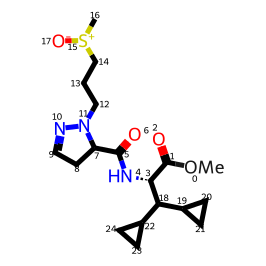 COC(=O)[C@@H](NC(=O)C1CC=NN1CCC[S+](C)[O-])C(C1CC1)C1CC1